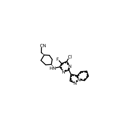 N#CC[C@H]1CC[C@H](Nc2nc(-c3cnn4ccccc34)nc(Cl)c2F)CC1